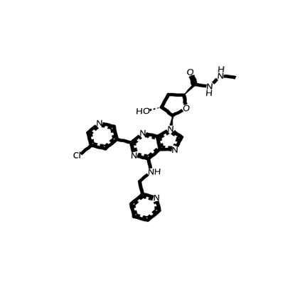 CNNC(=O)[C@@H]1C[C@@H](O)[C@H](n2cnc3c(NCc4ccccn4)nc(-c4cncc(Cl)c4)nc32)O1